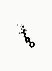 CCOC(=O)C(Cl)CCc1ccc(C2CCCCC2)cc1